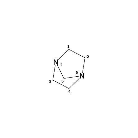 [CH]1CN2CCN1C2